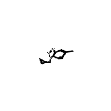 Cc1ccc2c(c1)nnn2CC1CC1